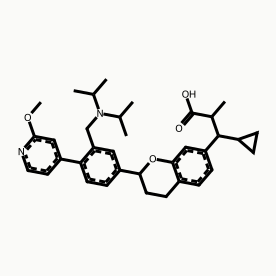 COc1cc(-c2ccc(C3CCc4ccc(C(C5CC5)C(C)C(=O)O)cc4O3)cc2CN(C(C)C)C(C)C)ccn1